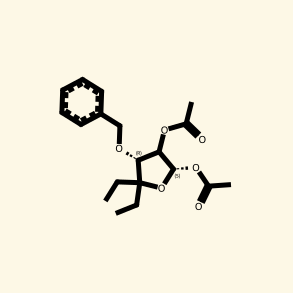 CCC1(CC)O[C@@H](OC(C)=O)C(OC(C)=O)[C@H]1OCc1ccccc1